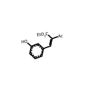 CCOC(=O)/C(=C\c1cccc(O)c1)C(C)=O